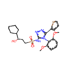 COc1cccc(OC)c1-n1c(NS(=O)(=O)CCC(O)C2CCCC2)nnc1-c1cccs1